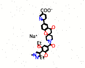 CCOc1cc(C(=O)N2CCC3(CC2)CC(=O)c2cc(-c4ccc(C(=O)[O-])cn4)ccc2O3)cc(OCC)c1-c1cnn(C)c1.[Na+]